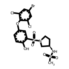 CS(=O)(=O)N[C@@H]1CCN(S(=O)(=O)c2cc(Oc3c(Cl)cc(Br)cc3Cl)ccc2O)C1